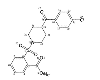 COC(=O)c1ccccc1S(=O)(=O)N1CCC(C(=O)c2ccc(Cl)cc2)CC1